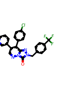 O=c1n(Cc2ccc(C(F)(F)F)cc2)nc2c(-c3ccc(Cl)cc3)c(-c3cccnc3)cnn12